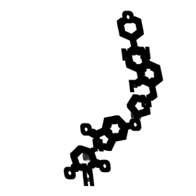 O=C1CC[C@H](N2Cc3cc(O[C@H]4CCN(Cc5ccc6nc(C7CCOCC7)ncc6c5F)C4)ccc3C2=O)C(=O)N1